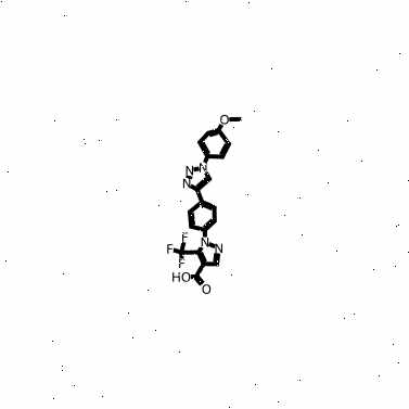 COc1ccc(-n2cc(-c3ccc(-n4ncc(C(=O)O)c4C(F)(F)F)cc3)nn2)cc1